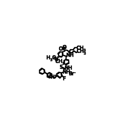 CCCCC1(CCCC)CS(=O)(=O)c2ccc(N(C)C)cc2C(c2ccc(NC(=S)Nc3ccc(C[N+]45CCC(c6ccccc6)(CC4)CC5)cc3F)cc2)N1.[Br-]